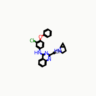 C#Cc1nc(Nc2ccc(Oc3ccccc3)c(Cl)c2)c2ccccc2n1.C1CC2CC2N1